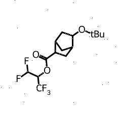 CC(C)(C)OC1CC2CC1CC2C(=O)OC(C(F)F)C(F)(F)F